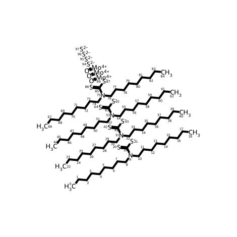 CCCCCCCCCN(CCCCCCCCC)C(=S)[S-].CCCCCCCCCN(CCCCCCCCC)C(=S)[S-].CCCCCCCCCN(CCCCCCCCC)C(=S)[S-].CCCCCCCCCN(CCCCCCCCC)C(=S)[S-].[O]=[Mo+4].[O]=[Mo+4].[O]=[Mo+4].[S-2].[S-2].[S-2].[S-2]